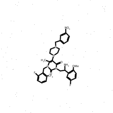 COc1ccc(F)cc1C(N)Cn1c(=O)c(N2CCN(Cc3cccc([N+](=O)[O-])c3)CC2)c(C)n(Cc2c(F)cccc2C(F)(F)F)c1=O